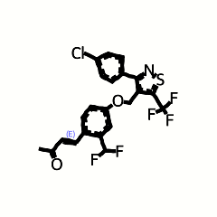 CC(=O)/C=C/c1ccc(OCc2c(-c3ccc(Cl)cc3)nsc2C(F)(F)F)cc1C(F)F